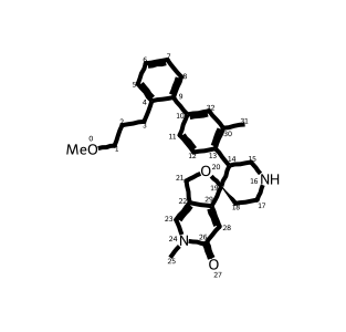 COCCCc1ccccc1-c1ccc(C2CNCC[C@@]23OCc2cn(C)c(=O)cc23)c(C)c1